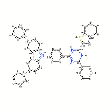 c1ccc(-c2ccc3c(c2)c2cc(-c4ccccc4)ccc2n3-c2ccc(-c3nc(-c4ccccc4)nc(-c4cc5ccccc5s4)n3)cc2)cc1